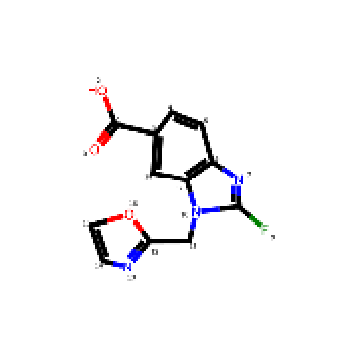 O=C(O)c1ccc2nc(F)n(Cc3ncco3)c2c1